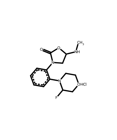 CNC1CN(c2ccccc2N2CCOCC2F)C(=O)O1.Cl